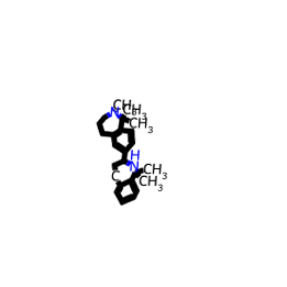 CN1CCCc2cc(C3CCc4ccccc4C(C)(C)N3)ccc2C1(C)C